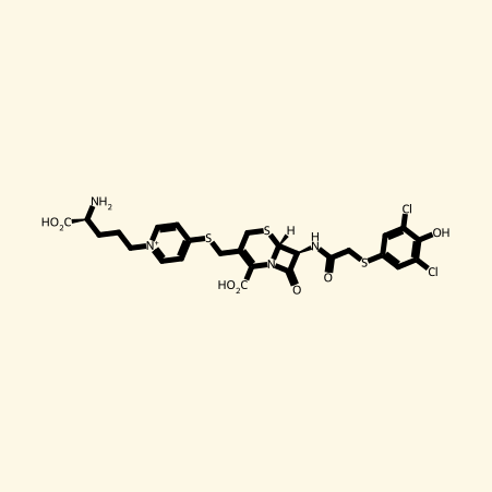 N[C@@H](CCC[n+]1ccc(SCC2=C(C(=O)O)N3C(=O)[C@H](NC(=O)CSc4cc(Cl)c(O)c(Cl)c4)[C@H]3SC2)cc1)C(=O)O